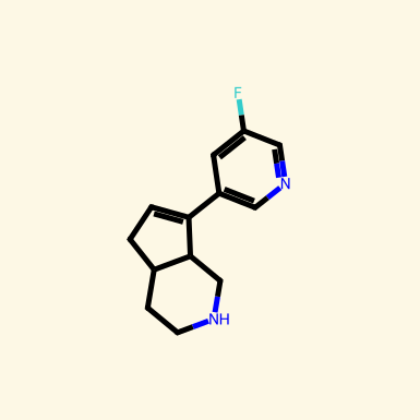 Fc1cncc(C2=CCC3CCNCC23)c1